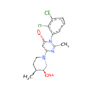 Cc1nc(N2CC[C@H](C)[C@H](O)C2)cc(=O)n1-c1cccc(Cl)c1Cl